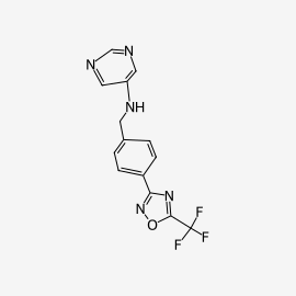 FC(F)(F)c1nc(-c2ccc(CNc3cncnc3)cc2)no1